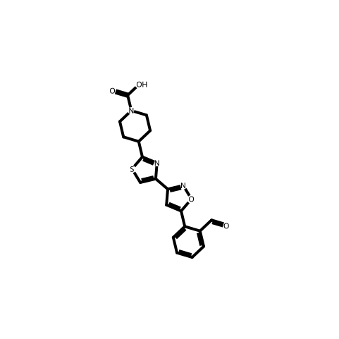 O=Cc1ccccc1-c1cc(-c2csc(C3CCN(C(=O)O)CC3)n2)no1